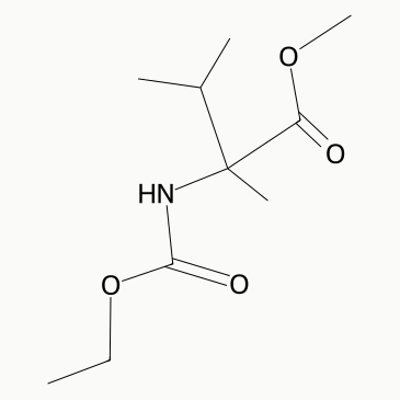 CCOC(=O)NC(C)(C(=O)OC)C(C)C